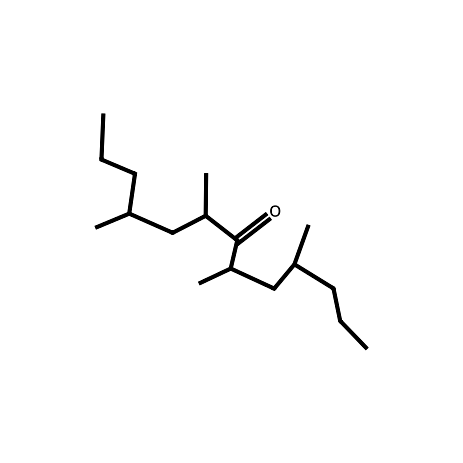 CCCC(C)CC(C)C(=O)C(C)CC(C)CCC